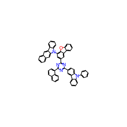 c1ccc(-n2c3ccccc3c3cc(-c4nc(-c5cc(-n6c7ccccc7c7cc8ccccc8cc76)c6oc7ccccc7c6c5)nc(-c5cccc6ccccc56)n4)ccc32)cc1